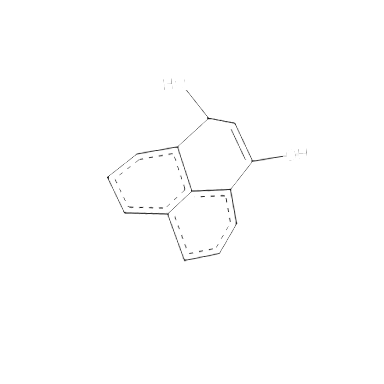 OC1=CC(O)c2cccc3cccc1c23